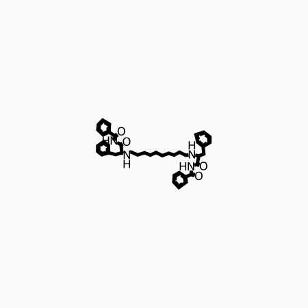 O=C(NC(=O)C(Cc1ccccc1)NCCCCCCCCCCNC(Cc1ccccc1)C(=O)NC(=O)c1ccccc1)c1ccccc1